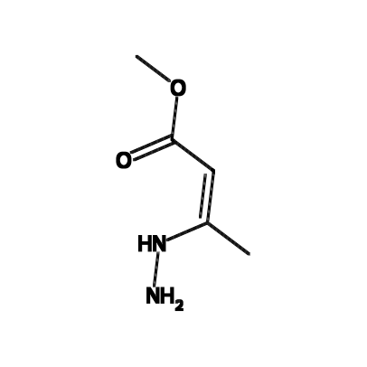 COC(=O)/C=C(/C)NN